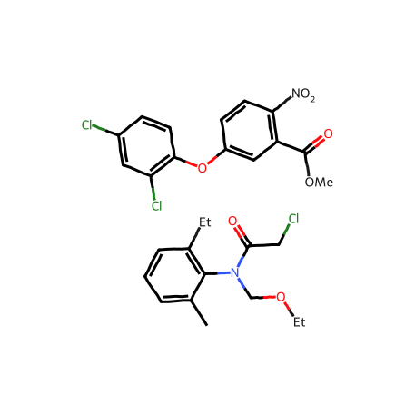 CCOCN(C(=O)CCl)c1c(C)cccc1CC.COC(=O)c1cc(Oc2ccc(Cl)cc2Cl)ccc1[N+](=O)[O-]